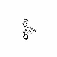 CCOC(=O)C(N)(Cc1ccc(O)cc1)C(=O)c1ccccc1